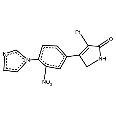 CCC1=C(c2ccc(-n3ccnc3)c([N+](=O)[O-])c2)CNC1=O